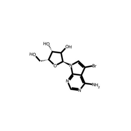 Nc1ncnc2c1c(Br)cn2[C@H]1O[C@H](CO)[C@H](O)C1O